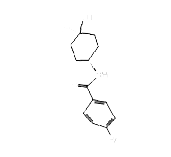 C[C@]1(O)CC[C@@H](NC(=O)c2ccc(Br)cc2)CC1